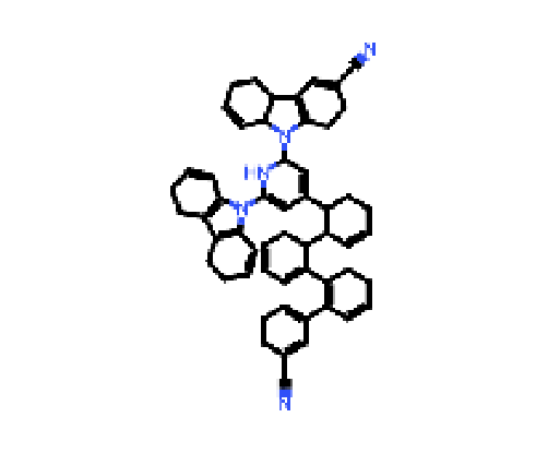 N#CC1=CC(C2=C(C3=CC=CCC3C3C=CCCC3C3=CC(N4C5=C(C=C(C#N)CC5)C5CCC=CC54)NC(n4c5c(c6c4C=CCC6)CCC=C5)=C3)CCC=C2)=CCC1